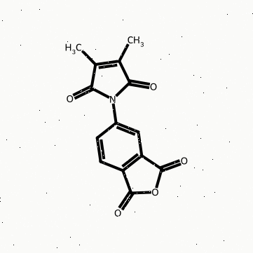 CC1=C(C)C(=O)N(c2ccc3c(c2)C(=O)OC3=O)C1=O